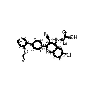 CCOc1ccccc1-c1ccc(-c2nc3ccc(Cl)cc3c(N[C@H](C)C(=O)O)c2C#N)cc1